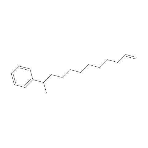 C=CCCCCCCCCC(C)c1ccccc1